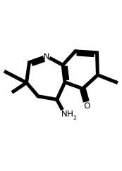 CC1C=CC2=C(C1=O)C(N)CC(C)(C)C=N2